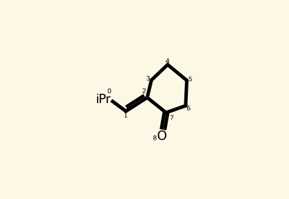 CC(C)C=C1CCCCC1=O